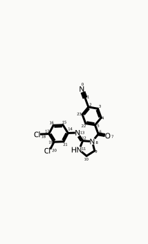 N#Cc1ccc(C(=O)N2CCNC2=Nc2ccc(Cl)c(Cl)c2)cc1